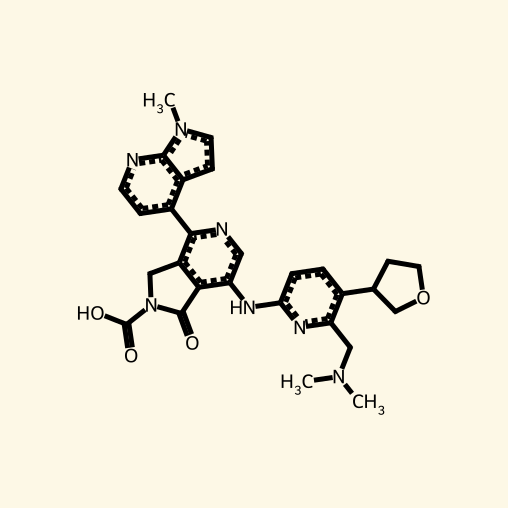 CN(C)Cc1nc(Nc2cnc(-c3ccnc4c3ccn4C)c3c2C(=O)N(C(=O)O)C3)ccc1C1CCOC1